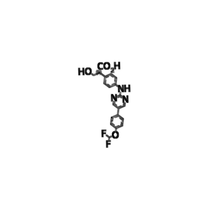 O=C(O)[C@@H](CO)c1ccc(Nc2ncc(-c3ccc(OC(F)F)cc3)cn2)cc1